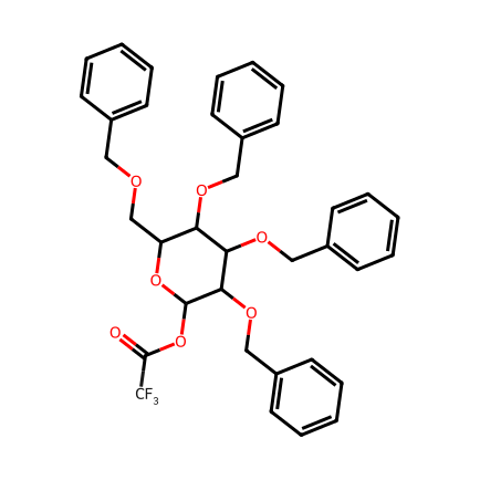 O=C(OC1OC(COCc2ccccc2)C(OCc2ccccc2)C(OCc2ccccc2)C1OCc1ccccc1)C(F)(F)F